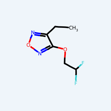 CCc1nonc1OCC(F)F